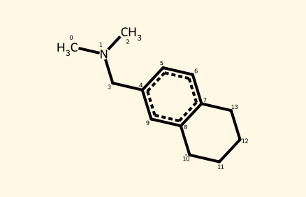 CN(C)Cc1ccc2c(c1)[CH]CCC2